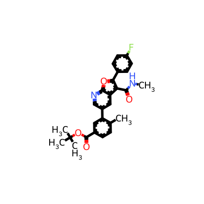 CNC(=O)c1c(-c2ccc(F)cc2)oc2ncc(-c3cc(C(=O)OC(C)(C)C)ccc3C)cc12